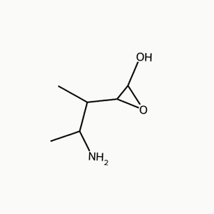 CC(N)C(C)C1OC1O